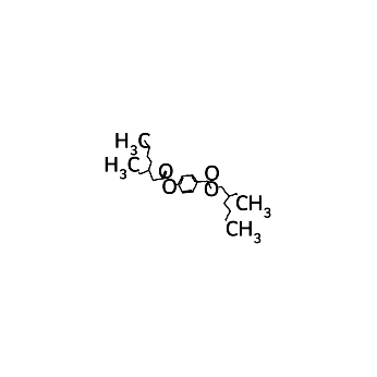 CCCCC(CC)COC(=O)c1ccc(OC(=O)CC(CC)CCCC)cc1